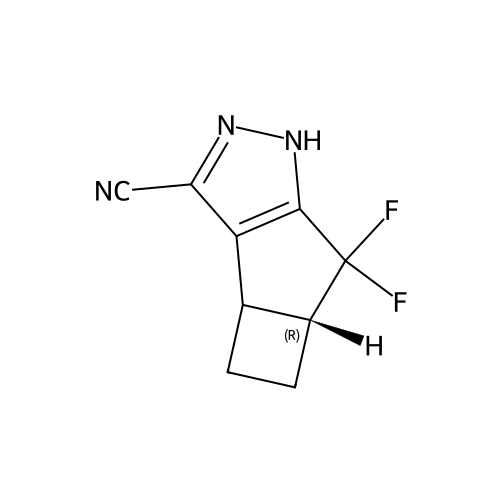 N#Cc1n[nH]c2c1C1CC[C@H]1C2(F)F